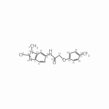 Cn1c(Cl)nc2ccc(NC(=O)COc3ccc(C(F)(F)F)cc3)cc21